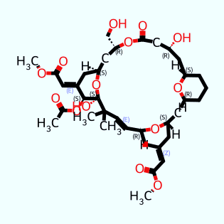 COC(=O)/C=C1/C[C@H]2C[C@H]3CCC[C@@H](C[C@@H](O)CC(=O)O[C@@H](CO)C[C@@H]4C/C(=C\C(=O)OC)[C@H](OC(C)=O)[C@@](O)(O4)C(C)(C)/C=C/[C@@H](C1)O2)O3